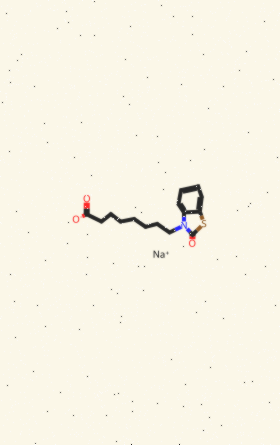 O=C([O-])CCCCCCCn1c(=O)sc2ccccc21.[Na+]